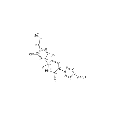 CC(C)C1=CN(c2ccc(C(=O)O)cc2)C(=O)NC1(C)c1ccc(CCC(C)(C)C)c(Cl)c1